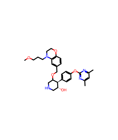 COCCCN1CCOc2ccc(COC3CNC[C@@H](O)[C@@H]3c3ccc(Oc4nc(C)cc(C)n4)cc3)cc21